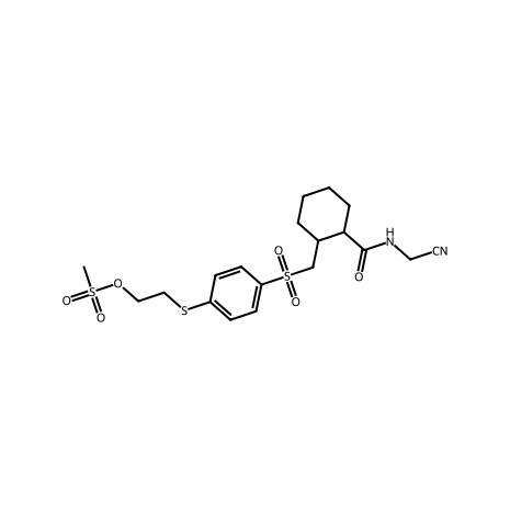 CS(=O)(=O)OCCSc1ccc(S(=O)(=O)CC2CCCCC2C(=O)NCC#N)cc1